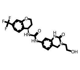 O=C(Nc1ccc2c(c1)NC(=O)N(CCO)C2)N[C@@H]1CCOc2cc(C(F)(F)F)ccc21